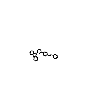 C(=C\c1ccc(-c2cccc(-n3c4ccccc4c4ccccc43)c2)cc1)/c1ccccc1